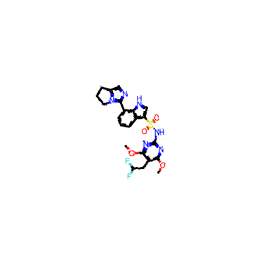 COc1nc(NS(=O)(=O)c2c[nH]c3c(-c4ncc5n4CCC5)cccc23)nc(OC)c1CC(F)F